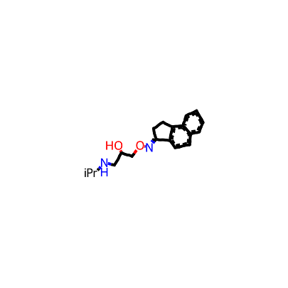 CC(C)NCC(O)CO/N=C1\CCc2c1ccc1ccccc21